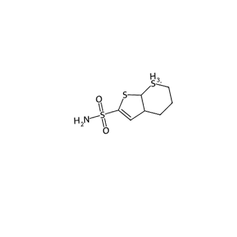 NS(=O)(=O)C1=CC2CCC[SH3]C2S1